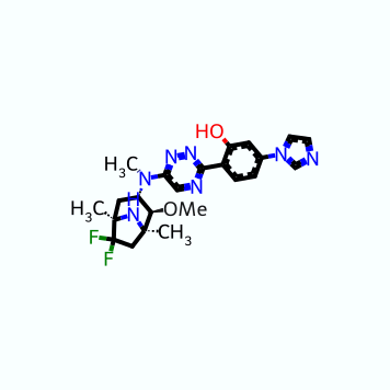 CO[C@@H]1[C@@H](N(C)c2cnc(-c3ccc(-n4ccnc4)cc3O)nn2)C[C@@]2(C)N[C@]1(C)CC2(F)F